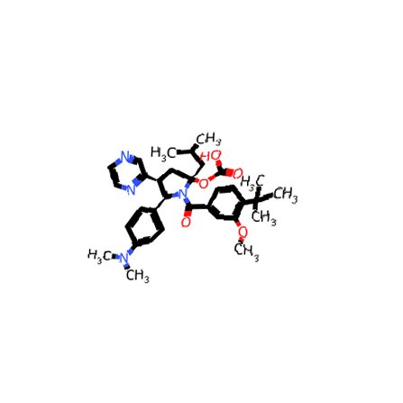 COc1cc(C(=O)N2[C@@H](c3ccc(N(C)C)cc3)[C@@H](c3cnccn3)C[C@]2(CC(C)C)OC(=O)O)ccc1C(C)(C)C